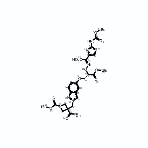 CC(C)(C)OC(=O)Nc1nc(/C(=N/O[C@@H](COc2ccc3nn(CC4(C(N)=O)CN(C(=O)OC(C)(C)C)C4)cc3c2)C(=O)OC(C)(C)C)C(=O)O)cs1